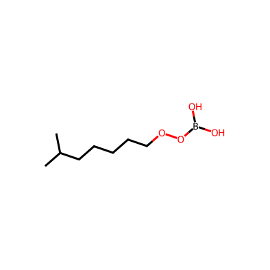 CC(C)CCCCCOOB(O)O